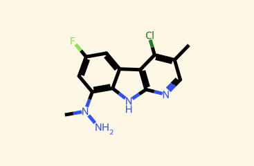 Cc1cnc2[nH]c3c(N(C)N)cc(F)cc3c2c1Cl